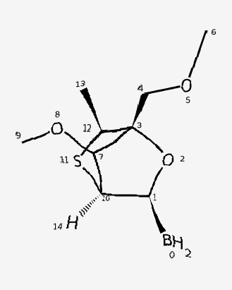 B[C@@H]1O[C@]2(COC)C(OC)[C@@H]1S[C@H]2C